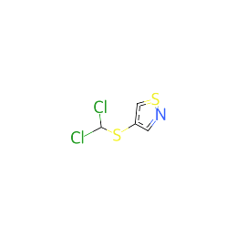 ClC(Cl)Sc1cnsc1